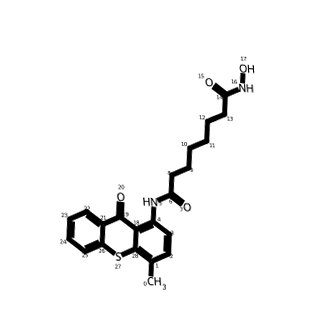 Cc1ccc(NC(=O)CCCCCCC(=O)NO)c2c(=O)c3ccccc3sc12